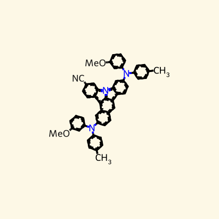 COc1cccc(N(c2ccc(C)cc2)c2ccc3cc4c5ccc(N(c6ccc(C)cc6)c6cccc(OC)c6)cc5n5c6cc(C#N)ccc6c(c3c2)c45)c1